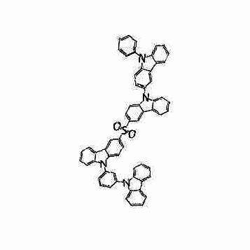 O=S(=O)(c1ccc2c(c1)c1ccccc1n2-c1cccc(-n2c3ccccc3c3ccccc32)c1)c1ccc2c(c1)c1ccccc1n2-c1ccc2c(c1)c1ccccc1n2-c1ccccc1